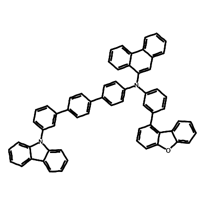 c1cc(-c2cccc3oc4ccccc4c23)cc(N(c2ccc(-c3ccc(-c4cccc(-n5c6ccccc6c6ccccc65)c4)cc3)cc2)c2cc3ccccc3c3ccccc23)c1